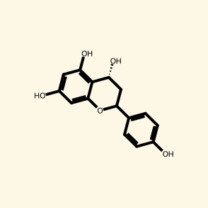 Oc1ccc(C2C[C@@H](O)c3c(O)cc(O)cc3O2)cc1